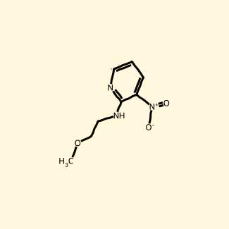 COCCNc1n[c]ccc1[N+](=O)[O-]